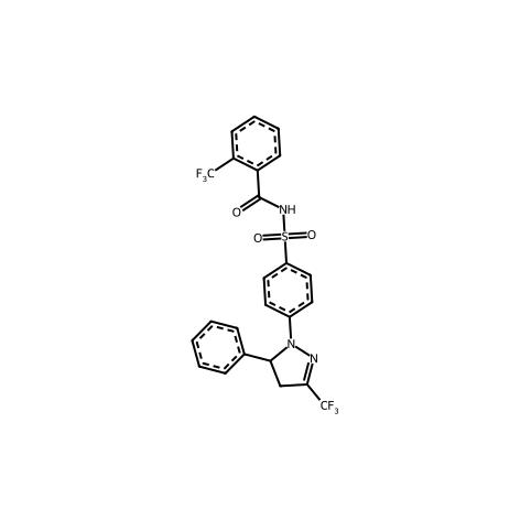 O=C(NS(=O)(=O)c1ccc(N2N=C(C(F)(F)F)CC2c2ccccc2)cc1)c1ccccc1C(F)(F)F